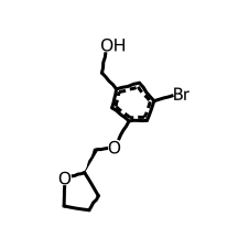 OCc1cc(Br)cc(OC[C@H]2CCCO2)c1